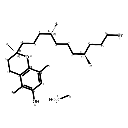 CC(=O)O.Cc1cc(O)c(C)c2c1O[C@](C)(CCC[C@H](C)CCC[C@H](C)CCCC(C)C)CC2